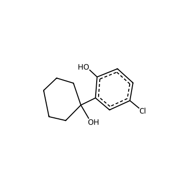 Oc1ccc(Cl)cc1C1(O)CCCCC1